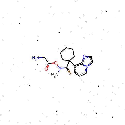 CN(OC(=O)CN)C(=S)C1(c2cccn3ccnc23)CCCCC1